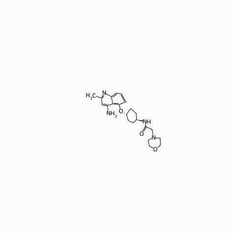 Cc1cc(N)c2c(O[C@H]3CC[C@H](NC(=O)CN4CCOCC4)CC3)cccc2n1